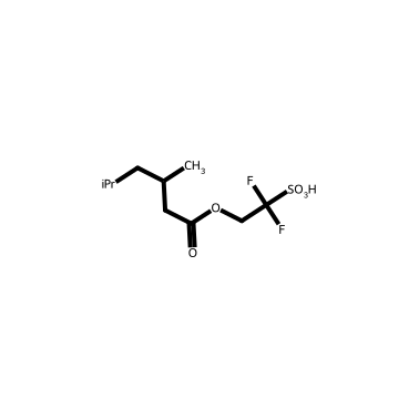 CC(C)CC(C)CC(=O)OCC(F)(F)S(=O)(=O)O